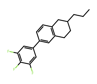 CCCC1CCc2cc(-c3cc(F)c(F)c(F)c3)ccc2C1